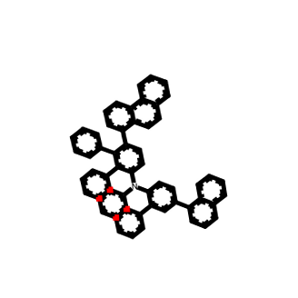 c1ccc(-c2cc(-c3cccc4ccccc34)ccc2N(c2ccccc2)c2ccc(-c3cccc4c3ccc3ccccc34)c(-c3ccccc3)c2-c2ccccc2)cc1